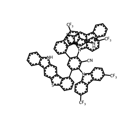 N#Cc1c(-n2c3ccc(C(F)(F)F)cc3c3cc(C(F)(F)F)ccc32)c(-c2cccc3sc4cc5c(cc4c23)[nH]c2ccccc25)cc(-c2cccc3sc4cc5c(cc4c23)[nH]c2ccccc25)c1-n1c2ccc(C(F)(F)F)cc2c2cc(C(F)(F)F)ccc21